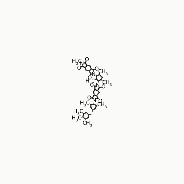 Cc1cc(Cc2cc(C)c(-n3c(=O)c4cc5c(=O)n(-c6c(C)cc(C)c(-n7c(=O)c8cc9c(=O)n(C)c(=O)c9cc8c7=O)c6C)c(=O)c5cc4c3=O)c(C)c2)cc(C)c1C